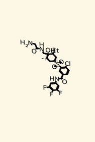 CCC1C[C@@H](S(=O)(=O)c2cc(C(=O)Nc3cc(F)c(F)c(F)c3)ccc2Cl)C[C@H](C)[C@@]1(O)CNC(=O)CN